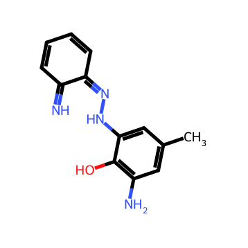 Cc1cc(N)c(O)c(N/N=C2/C=CC=CC2=N)c1